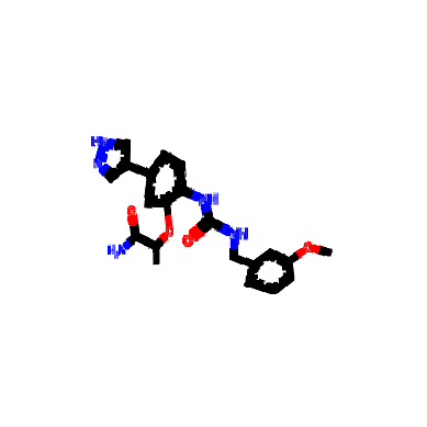 COc1cccc(CNC(=O)Nc2ccc(-c3cn[nH]c3)cc2OC(C)C(N)=O)c1